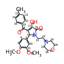 COc1ccc(C2C(C(=O)c3ccc(C)cc3)=C(O)C(=O)N2CCN2CCOCC2)cc1OC